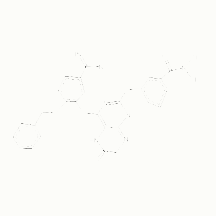 CN(C)C(=O)c1cccc(OC2=NC(Oc3cc(C(=N)N)ccc3OCc3ccccc3)=C3NC(=O)CN=C3N2)c1